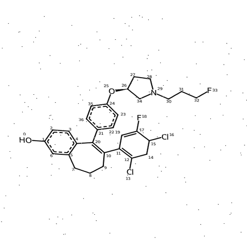 Oc1ccc2c(c1)CCCC(C1=C(Cl)CC(Cl)C(F)=C1)=C2c1ccc(O[C@H]2CCN(CCCF)C2)cc1